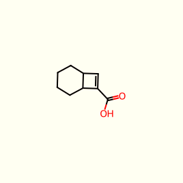 O=C(O)C1=CC2CCCCC12